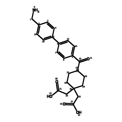 NCc1ccc(-c2ccc(C(=O)N3CCC(CC(=O)O)(CC(=O)O)CC3)cc2)cc1